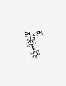 CCCCCC1(CCCC)C=CC(C#Cc2ccccc2)=CC1